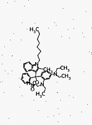 CCCCCCCCn1c(C)c(C2(c3ccc(N(CC)CC)cc3N(CC)CC)OC(=O)c3ccccc32)c2ccccc21